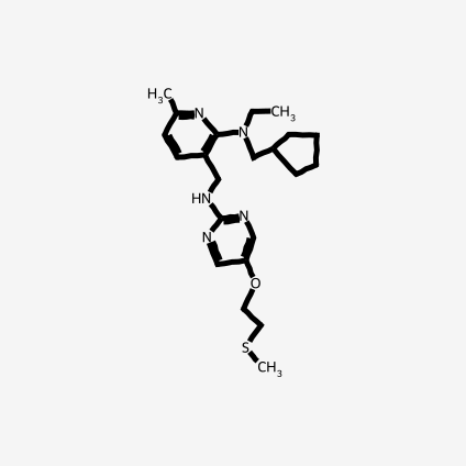 CCN(CC1CCCC1)c1nc(C)ccc1CNc1ncc(OCCSC)cn1